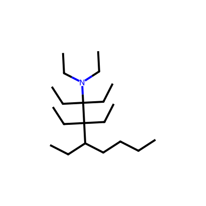 CCCCC(CC)C(CC)(CC)C(CC)(CC)N(CC)CC